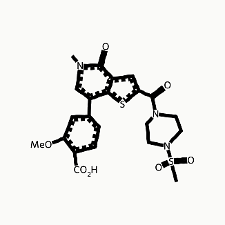 COc1cc(-c2cn(C)c(=O)c3cc(C(=O)N4CCN(S(C)(=O)=O)CC4)sc23)ccc1C(=O)O